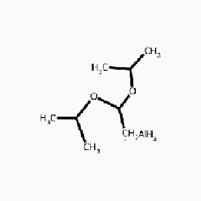 [AlH3].[CH2]C(OC(C)C)OC(C)C